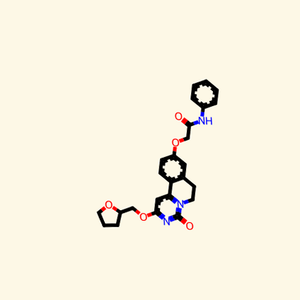 O=C(COc1ccc2c(c1)CCn1c-2cc(OCC2CCCO2)nc1=O)Nc1ccccc1